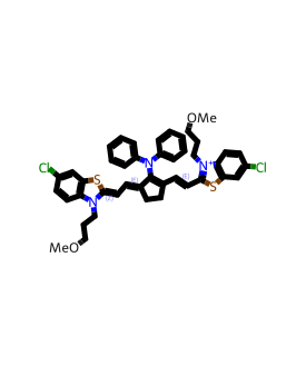 COCCCN1/C(=C/C=C2\CCC(/C=C/c3sc4cc(Cl)ccc4[n+]3CCCOC)=C2N(c2ccccc2)c2ccccc2)Sc2cc(Cl)ccc21